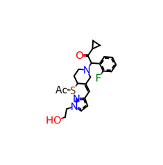 CC(=O)SC1CCN(C(C(=O)C2CC2)c2ccccc2F)C/C1=C/c1ccn(CCO)n1